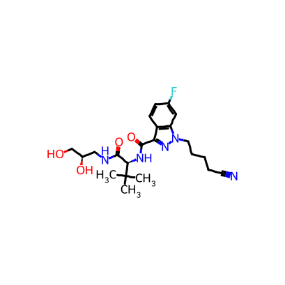 CC(C)(C)[C@H](NC(=O)c1nn(CCCCC#N)c2cc(F)ccc12)C(=O)NC[C@@H](O)CO